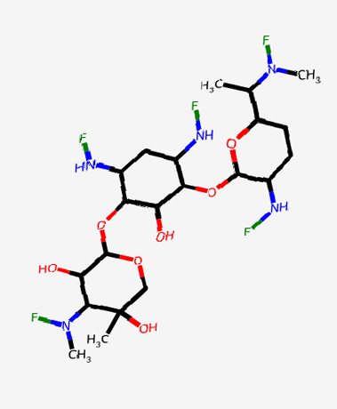 CC(C1CCC(NF)C(OC2C(NF)CC(NF)C(OC3OCC(C)(O)C(N(C)F)C3O)C2O)O1)N(C)F